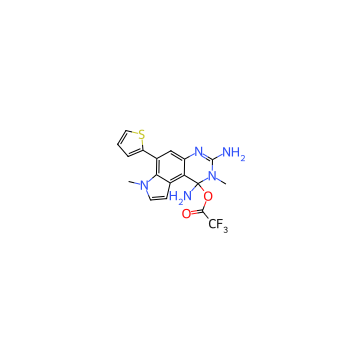 CN1C(N)=Nc2cc(-c3cccs3)c3c(ccn3C)c2C1(N)OC(=O)C(F)(F)F